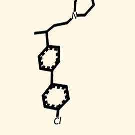 CC1CCN(CCC(C)c2ccc(-c3ccc(Cl)cc3)cc2)CC1